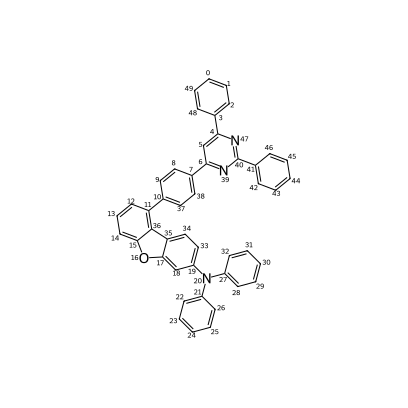 c1ccc(-c2cc(-c3ccc(-c4cccc5oc6cc(N(c7ccccc7)c7ccccc7)ccc6c45)cc3)nc(-c3ccccc3)n2)cc1